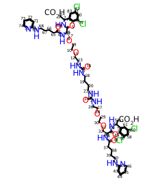 O=C(O)CC(NC(=O)[C@H](COCCOCCNC(=O)NCCCCNC(=O)NCCOCCOC[C@H](NC(=O)CCCCNc1ccccn1)C(=O)NC(CC(=O)O)c1cc(Cl)cc(Cl)c1)NC(=O)CCCCNc1ccccn1)c1cc(Cl)cc(Cl)c1